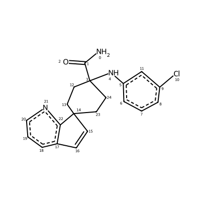 NC(=O)C1(Nc2cccc(Cl)c2)CCC2(C=Cc3cccnc32)CC1